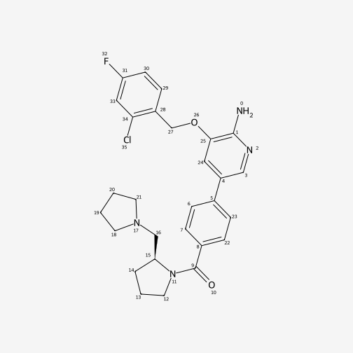 Nc1ncc(-c2ccc(C(=O)N3CCC[C@H]3CN3CCCC3)cc2)cc1OCc1ccc(F)cc1Cl